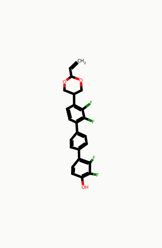 C=CC1OCC(c2ccc(-c3ccc(-c4ccc(O)c(F)c4F)cc3)c(F)c2F)CO1